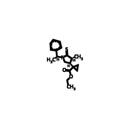 CCOC(=O)C1([C@H]2CN([C@@H](C)c3ccccc3)C(=S)[C@@H]2C)CC1